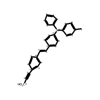 Cc1ccc(N(c2ccccc2)c2ccc(C=Cc3ccc(C#CC(=O)O)cc3)cc2)cc1